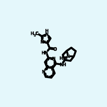 Cc1nc(C(=O)Nc2cc3ncccc3c(NC3CC4CCC(C3)N4C)n2)c[nH]1